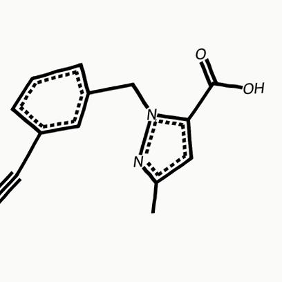 Cc1cc(C(=O)O)n(Cc2cccc(C#N)c2)n1